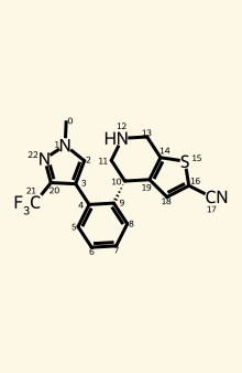 Cn1cc(-c2ccccc2[C@@H]2CNCc3sc(C#N)cc32)c(C(F)(F)F)n1